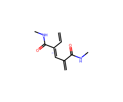 C=C/C(=C\C(=C)C(=O)NC)C(=O)NC